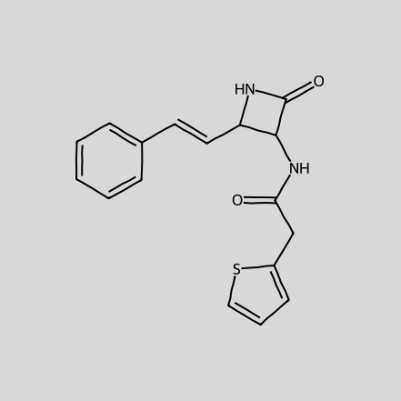 O=C(Cc1cccs1)NC1C(=O)NC1C=Cc1ccccc1